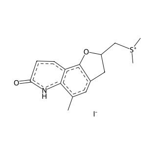 Cc1cc2c(c3ccc(=O)[nH]c13)OC(C[S+](C)C)C2.[I-]